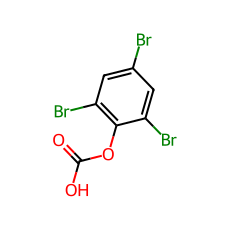 O=C(O)Oc1c(Br)cc(Br)cc1Br